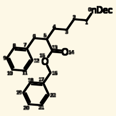 CCCCCCCCCCCCCCC(Cc1ccccc1)C(=O)OCc1ccccc1